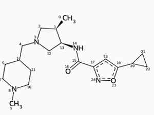 C[C@@H]1CN(CC2CCN(C)CC2)C[C@@H]1NC(=O)c1cc(C2CC2)on1